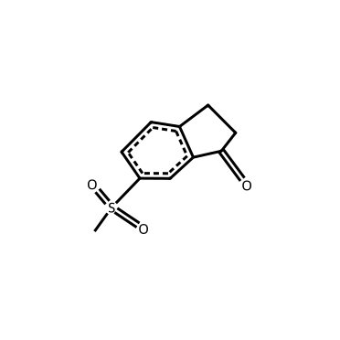 CS(=O)(=O)c1ccc2c(c1)C(=O)CC2